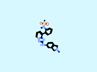 CN1Cc2ccc(Nc3nc4c(-c5ccccc5N(C)S(C)(=O)=O)cccn4n3)cc2C1